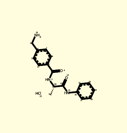 C[C@H](NC(=O)c1ccc(CN)cc1)C(=O)Nc1ccccc1.Cl